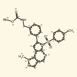 Cc1ccc(S(=O)(=O)n2c(-c3cccc(CNC(=O)OC(C)(C)C)c3)cc3c4c(cnc32)cnn4C)cc1